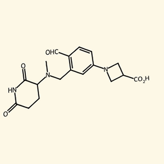 CN(Cc1cc(N2CC(C(=O)O)C2)ccc1C=O)C1CCC(=O)NC1=O